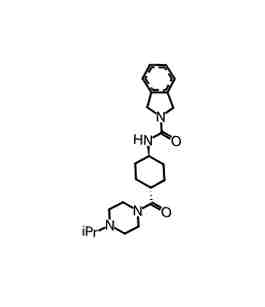 CC(C)N1CCN(C(=O)[C@H]2CC[C@H](NC(=O)N3Cc4ccccc4C3)CC2)CC1